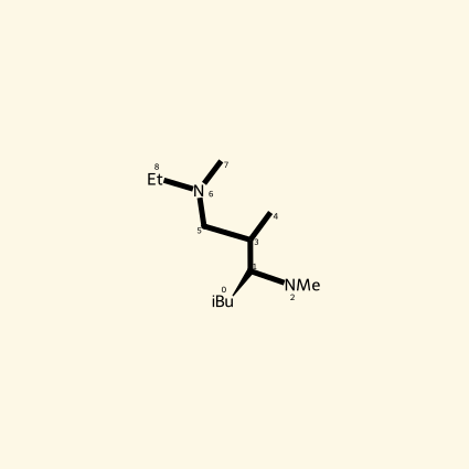 CC[C@H](C)C(NC)C(C)CN(C)CC